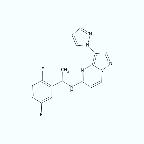 CC(Nc1ccn2ncc(-n3cccn3)c2n1)c1cc(F)ccc1F